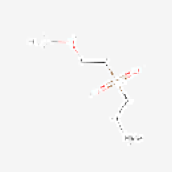 CNCCS(=O)(=O)CCOS(=O)(=O)O